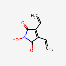 C=CC1=C(C=C)C(=O)N(O)C1=O